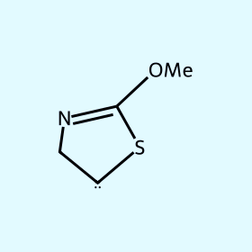 COC1=NC[C]S1